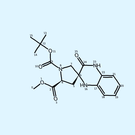 COC(=O)[C@@H]1C[C@]2(CN1C(=O)OC(C)(C)C)Nc1ccccc1NC2=O